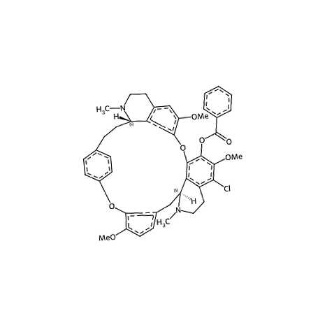 COc1ccc2cc1Oc1ccc(cc1)CC[C@H]1c3cc(c(OC)cc3CCN1C)Oc1c(OC(=O)c3ccccc3)c(OC)c(Cl)c3c1[C@H](C2)N(C)CC3